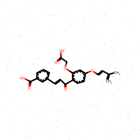 C=C(C)C=COc1ccc(C(=O)C=Cc2cccc(C(=O)O)c2)c(OCC(=O)O)c1